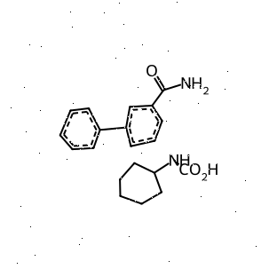 NC(=O)c1cccc(-c2ccccc2)c1.O=C(O)NC1CCCCC1